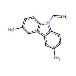 C=Cn1c2ccc(C)cc2c2cc(C)ccc21